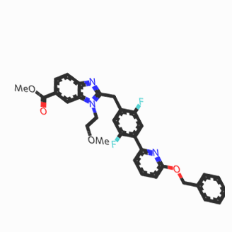 COCCn1c(Cc2cc(F)c(-c3cccc(OCc4ccc(Cl)cc4)n3)cc2F)nc2ccc(C(=O)OC)cc21